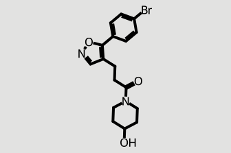 O=C(CCc1cnoc1-c1ccc(Br)cc1)N1CCC(O)CC1